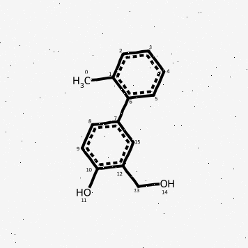 Cc1ccccc1-c1ccc(O)c(CO)c1